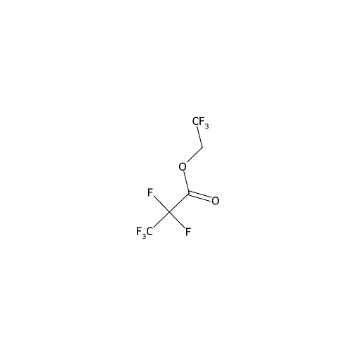 O=C(OCC(F)(F)F)C(F)(F)C(F)(F)F